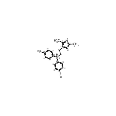 Cc1nc(C)n(CC[SiH](c2ccc(F)cc2)c2ccc(F)cc2)n1